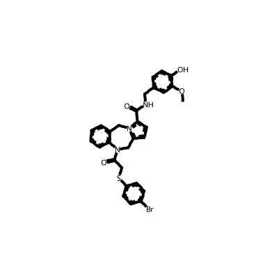 COc1cc(CNC(=O)c2ccc3n2Cc2ccccc2N(C(=O)CSc2ccc(Br)cc2)C3)ccc1O